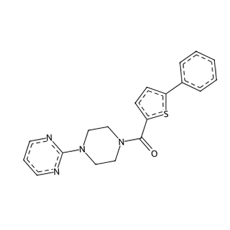 O=C(c1ccc(-c2ccccc2)s1)N1CCN(c2ncccn2)CC1